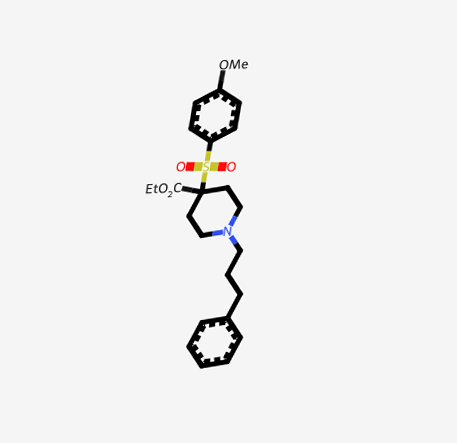 CCOC(=O)C1(S(=O)(=O)c2ccc(OC)cc2)CCN(CCCc2ccccc2)CC1